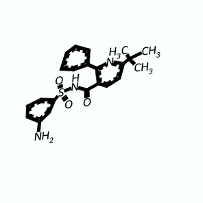 CC(C)(C)c1ccc(C(=O)NS(=O)(=O)c2cccc(N)c2)c(-c2ccccc2)n1